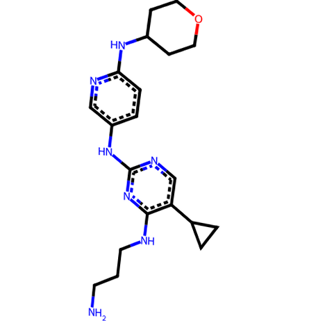 NCCCNc1nc(Nc2ccc(NC3CCOCC3)nc2)ncc1C1CC1